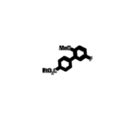 CCOC(=O)C1CC=C(c2cc(F)ccc2OC)CC1